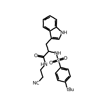 CC(C)(C)c1ccc(S(=O)(=O)NC(Cc2c[nH]c3ccccc23)C(=O)NCCC#N)cc1